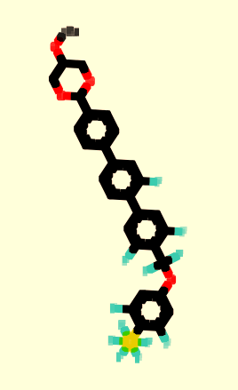 CCCCOC1COC(c2ccc(-c3ccc(-c4cc(F)c(C(F)(F)Oc5cc(F)c(S(F)(F)(F)(F)F)c(F)c5)c(F)c4)c(F)c3)cc2)OC1